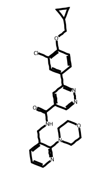 O=C(NCc1cccnc1N1CCOCC1)c1cnnc(-c2ccc(OCC3CC3)c(Cl)c2)c1